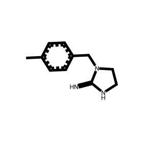 Cc1ccc(CN2CCNC2=N)cc1